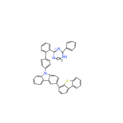 C=N/C(=N\C(=N)c1ccccc1)c1ccccc1-c1ccc(-n2c3ccccc3c3cc(-c4cccc5c4sc4ccccc45)ccc32)cc1